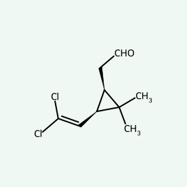 CC1(C)[C@H](CC=O)[C@@H]1C=C(Cl)Cl